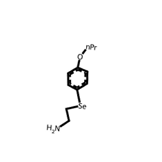 CCCOc1ccc([Se]CCN)cc1